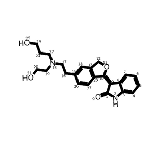 O=C1Nc2ccccc2C1=C1OCc2cc(CCN(CCO)CCCO)ccc21